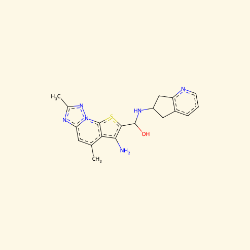 Cc1nc2cc(C)c3c(N)c(C(O)NC4Cc5cccnc5C4)sc3n2n1